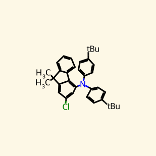 CC(C)(C)c1ccc(N(c2ccc(C(C)(C)C)cc2)c2cc(Cl)cc3c2-c2ccccc2C3(C)C)cc1